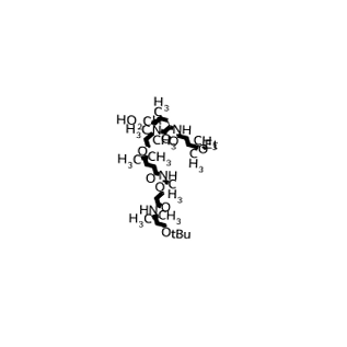 CCOC(C)(C)CCC(=O)N[C@@H](CC(C)CC(=O)O)C(=O)NC(C)(C)CCOC(C)(C)CCC(=O)NC(C)OCCC(=O)NC(C)(C)CCOC(C)(C)C